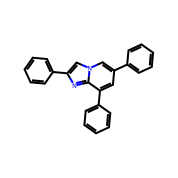 c1ccc(-c2cc(-c3ccccc3)c3nc(-c4ccccc4)cn3c2)cc1